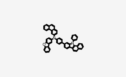 c1ccc(-n2c3cc(-c4ccc(N(c5ccc6ccc7ccccc7c6c5)c5ccc6oc7ccccc7c6c5)cc4)ccc3c3ccc4ccccc4c32)cc1